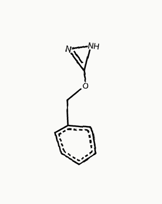 c1ccc(COC2=NN2)cc1